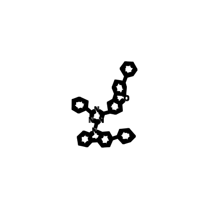 c1ccc(-c2ccc3c(c2)oc2ccc(-c4nc(-c5ccccc5)nc(-n5c6ccccc6c6ccc(-c7ccccc7)cc65)n4)cc23)cc1